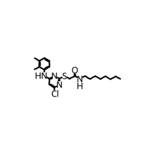 CCCCCCCCNC(=O)CSc1nc(Cl)cc(Nc2cccc(C)c2C)n1